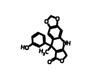 CC1(c2cccc(O)c2)C2=C(COC2=O)Nc2cc3c(cc21)OCO3